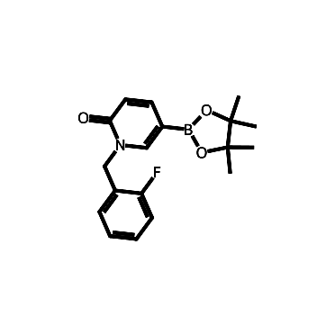 CC1(C)OB(c2ccc(=O)n(Cc3ccccc3F)c2)OC1(C)C